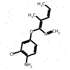 C=N/C(Oc1ccc(N)c(Cl)c1)=C(C)\C=C/C